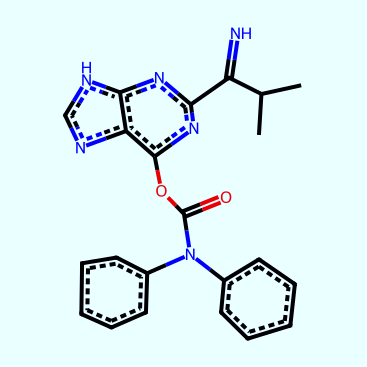 CC(C)C(=N)c1nc(OC(=O)N(c2ccccc2)c2ccccc2)c2nc[nH]c2n1